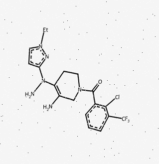 CCn1ccc(N(N)C2=C(N)CN(C(=O)c3cccc(C(F)(F)F)c3Cl)CC2)n1